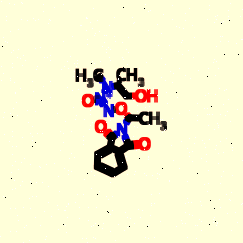 CC(O/N=[N+](/[O-])N(C)[C@@H](C)CO)N1C(=O)c2ccccc2C1=O